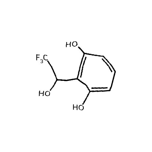 Oc1cccc(O)c1C(O)C(F)(F)F